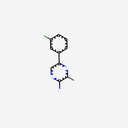 Nc1ncc(-c2cccc(F)c2)nc1C(=O)O